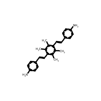 Cc1c(C)c(C=Cc2ccc(N)cc2)c(C)c(C)c1C=Cc1ccc(N)cc1